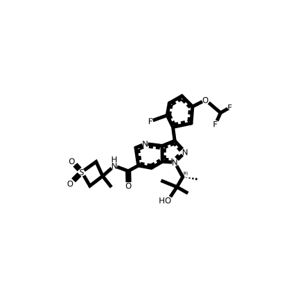 C[C@@H](n1nc(-c2cc(OC(F)F)ccc2F)c2ncc(C(=O)NC3(C)CS(=O)(=O)C3)cc21)C(C)(C)O